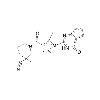 Cc1c(C(=O)N2CCCC(C)(C#N)C2)cnn1-c1nn2cccc2c(=O)[nH]1